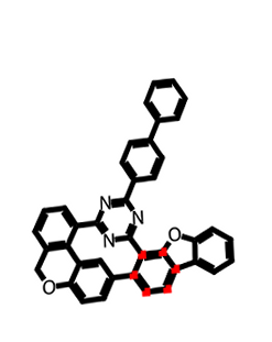 c1ccc(-c2ccc(-c3nc(-c4ccccc4)nc(-c4cccc5c4-c4cc(-c6ccc7c(c6)oc6ccccc67)ccc4OC5)n3)cc2)cc1